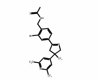 CC(=S)NCc1ccc(C2=NCC(c3cc(C(F)(F)F)nc(C(F)(F)F)c3)(C(F)(F)F)C2)cc1Br